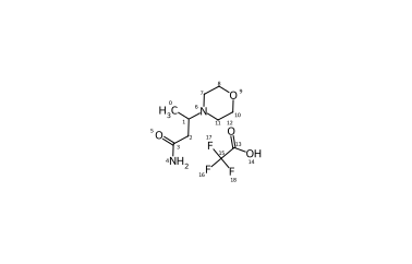 CC(CC(N)=O)N1CCOCC1.O=C(O)C(F)(F)F